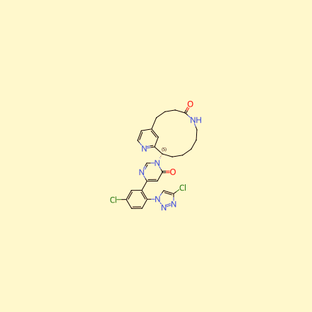 O=C1CCCc2ccnc(c2)[C@@H](n2cnc(-c3cc(Cl)ccc3-n3cc(Cl)nn3)cc2=O)CCCCCN1